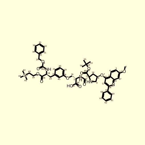 COc1ccc2c(O[C@H]3CN[C@@](C(=O)N[C@@H](COc4cccc(C[C@H](NC(=O)OCc5ccccc5)C(=O)OCC[Si](C)(C)C)c4)C(=O)O)(C(=O)OC(C)(C)C)C3)cc(-c3ccccc3)nc2c1